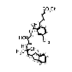 CCOC(=O)CCCCc1ccc(C(F)(F)F)cc1[C@@H](C)OC[C@H](O)CNC(C)(C)CC1Cc2ccccc2C1